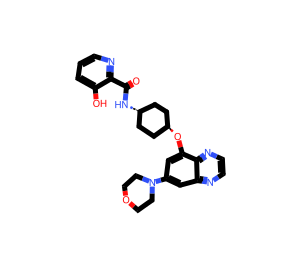 O=C(N[C@H]1CC[C@@H](Oc2cc(N3CCOCC3)cc3nccnc23)CC1)c1ncccc1O